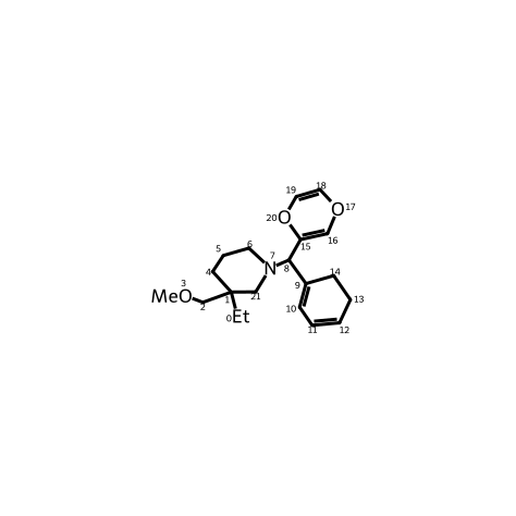 CCC1(COC)CCCN(C(C2=CC=CCC2)C2=COC=CO2)C1